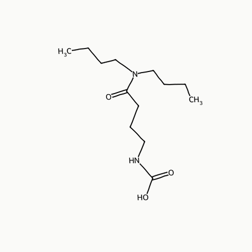 CCCCN(CCCC)C(=O)CCCNC(=O)O